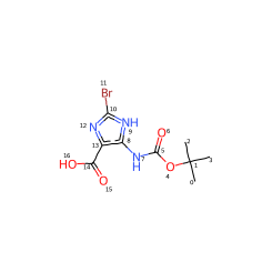 CC(C)(C)OC(=O)Nc1[nH]c(Br)nc1C(=O)O